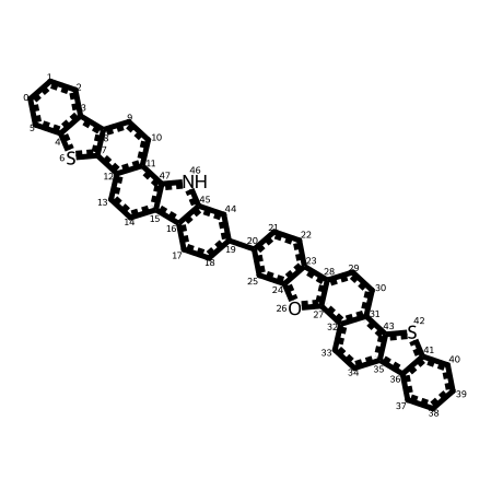 c1ccc2c(c1)sc1c2ccc2c1ccc1c3ccc(-c4ccc5c(c4)oc4c5ccc5c4ccc4c6ccccc6sc45)cc3[nH]c12